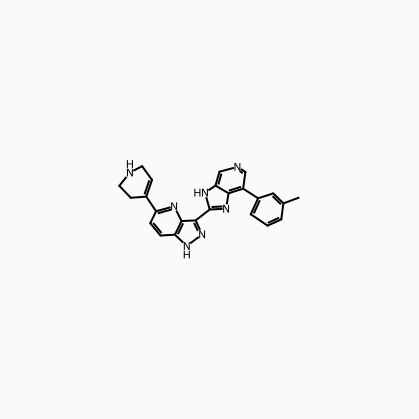 Cc1cccc(-c2cncc3[nH]c(-c4n[nH]c5ccc(C6=CCNCC6)nc45)nc23)c1